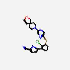 N#CC1=CCC(c2cccc(Sc3cnc(N4CCC5(CCOC5)CC4)cn3)c2Cl)=N1